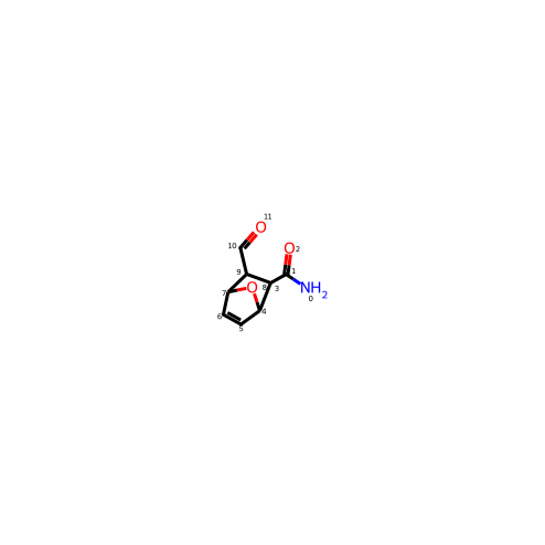 NC(=O)C1C2C=CC(O2)C1C=O